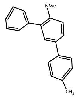 CNc1ccc(-c2ccc(C)cc2)cc1-c1ccccc1